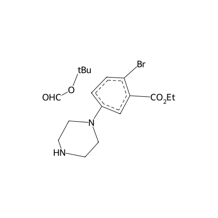 CC(C)(C)OC=O.CCOC(=O)c1cc(N2CCNCC2)ccc1Br